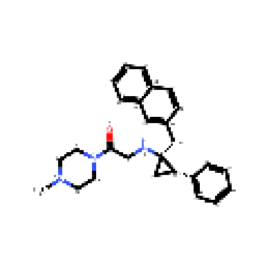 CN1CCN(C(=O)CN[C@]2(Cc3ccc4ccccc4c3)C[C@H]2c2ccccc2)CC1